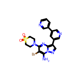 Nc1c(Br)c(N2CCS(=O)(=O)CC2)nc2c(-c3cncc(-c4cccnc4)c3)cnn12